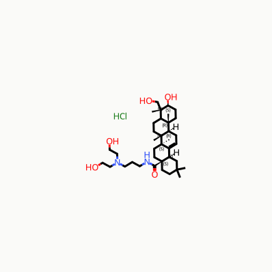 CC1(C)CC[C@]2(C(=O)NCCCN(CCO)CCO)CC[C@]3(C)C(=CC[C@@H]4[C@@]5(C)CC[C@H](O)[C@@](C)(CO)C5CC[C@]43C)[C@H]2C1.Cl